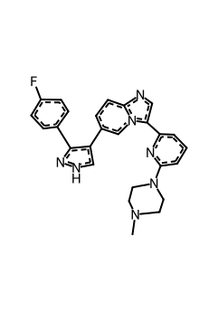 CN1CCN(c2cccc(-c3cnc4ccc(-c5c[nH]nc5-c5ccc(F)cc5)cn34)n2)CC1